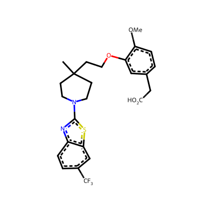 COc1ccc(CC(=O)O)cc1OCCC1(C)CCN(c2nc3ccc(C(F)(F)F)cc3s2)CC1